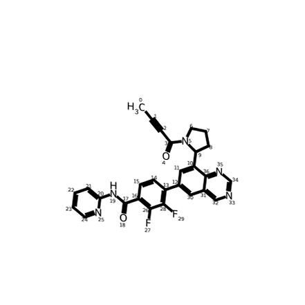 CC#CC(=O)N1CCCC1c1cc(-c2ccc(C(=O)Nc3ccccn3)c(F)c2F)cc2cncnc12